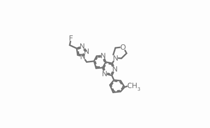 Cc1cccc(-c2nc(N3CCOCC3)c3ncc(Cn4cc(CF)nn4)cc3n2)c1